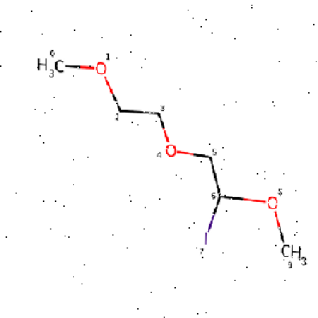 COCCOCC(I)OC